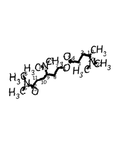 CC(CCC(=O)OCCC(CCC(=O)N(C)C)N(C)C)N(C)C